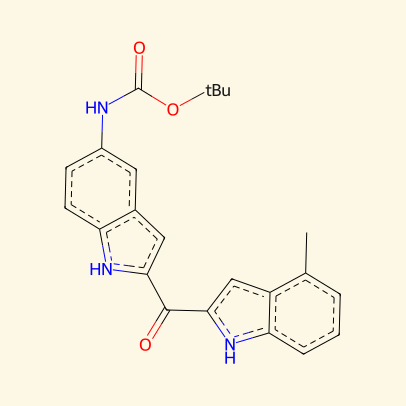 Cc1cccc2[nH]c(C(=O)c3cc4cc(NC(=O)OC(C)(C)C)ccc4[nH]3)cc12